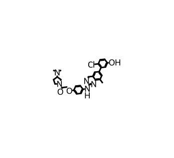 Cc1cc(-c2cc(O)ccc2Cl)cc2cnc(Nc3ccc(OCC(=O)N4CCC(N(C)C)C4)cc3)nc12